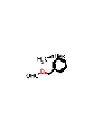 CCCCCCC.O=COCc1ccccc1